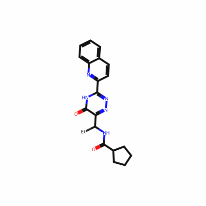 CCC(NC(=O)C1CCCC1)c1nnc(-c2ccc3ccccc3n2)[nH]c1=O